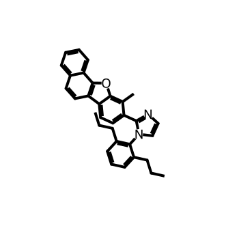 CCCc1cccc(CCC)c1-n1ccnc1-c1ccc2c(oc3c4ccccc4ccc23)c1C